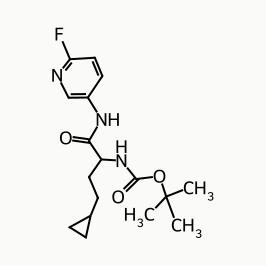 CC(C)(C)OC(=O)NC(CCC1CC1)C(=O)Nc1ccc(F)nc1